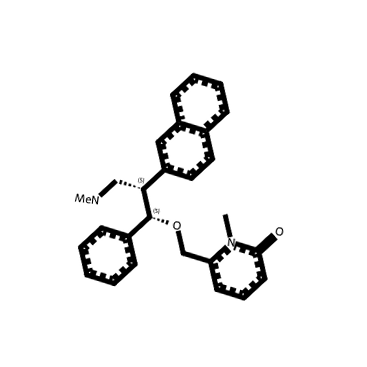 CNC[C@H](c1ccc2ccccc2c1)[C@H](OCc1cccc(=O)n1C)c1ccccc1